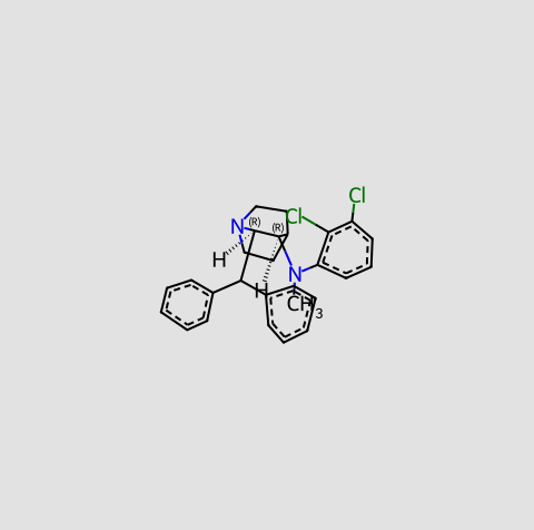 CN(c1cccc(Cl)c1Cl)[C@@H]1C2CCN(CC2)[C@@H]1C(c1ccccc1)c1ccccc1